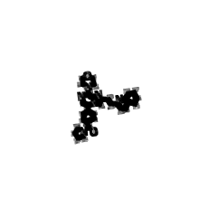 O=C(c1ccc(-c2cnc(N3CCOCC3)c3nc(C=Cc4ccc5ccccc5n4)cn23)cc1)N1CCCC1